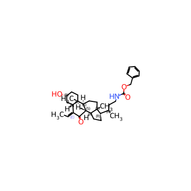 C/C=C1/C(=O)[C@@H]2[C@H](CC[C@]3(C)[C@@H]([C@H](C)CCNC(=O)OCc4ccccc4)CC[C@@H]23)[C@@]2(C)CC[C@@H](O)C[C@@H]12